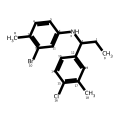 CCC(Nc1ccc(C)c(Br)c1)c1ccc(Cl)c(C)c1